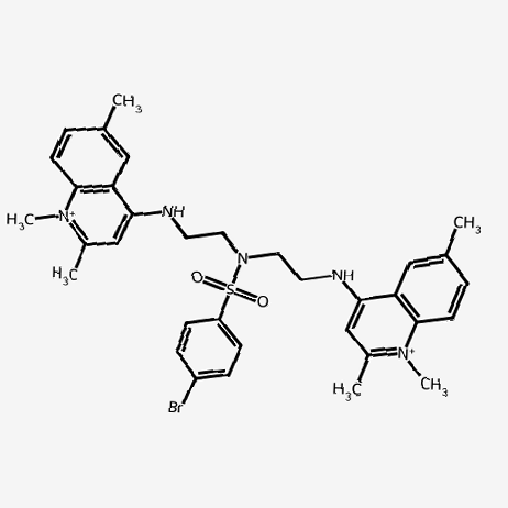 Cc1ccc2c(c1)c(NCCN(CCNc1cc(C)[n+](C)c3ccc(C)cc13)S(=O)(=O)c1ccc(Br)cc1)cc(C)[n+]2C